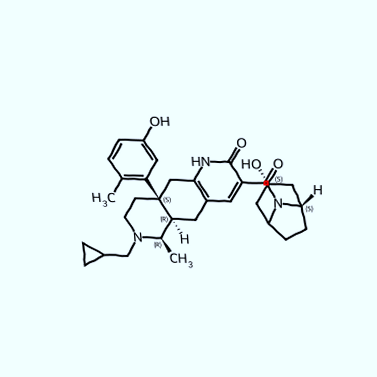 Cc1ccc(O)cc1[C@]12CCN(CC3CC3)[C@H](C)[C@@H]1Cc1cc(C(=O)N3C4CC[C@H]3C[C@@H](O)C4)c(=O)[nH]c1C2